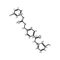 Cc1ccc[n+](CC(=O)CCc2ccc(C(=O)C[n+]3cccc(C)c3)cc2)c1